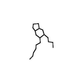 CCCCCCC1CC2CCCC2CC1CCCC